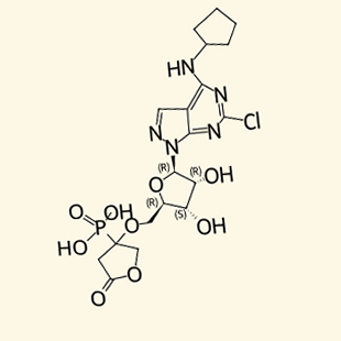 O=C1CC(OC[C@H]2O[C@@H](n3ncc4c(NC5CCCC5)nc(Cl)nc43)[C@H](O)[C@@H]2O)(P(=O)(O)O)CO1